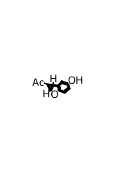 CC(=O)[C@@H]1[C@H]2Oc3ccc(O)cc3[C@H]21